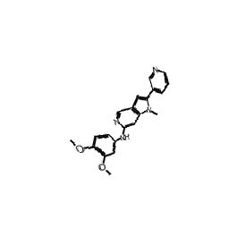 COc1ccc(Nc2cc3c(cn2)cc(-c2cccnc2)n3C)cc1OC